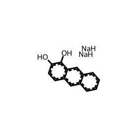 Oc1ccc2cc3ccccc3cc2c1O.[NaH].[NaH]